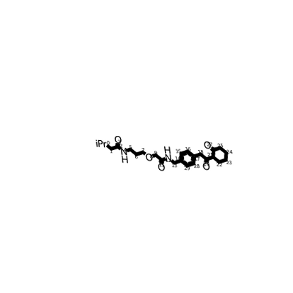 CC(C)CC(=O)NCCCOCC(=O)NCc1ccc(CC(=O)C2CCCCC2=O)cc1